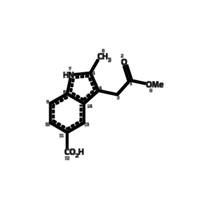 COC(=O)Cc1c(C)[nH]c2ccc(C(=O)O)cc12